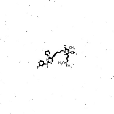 C[C@@H](C(=O)NCCCC#Cc1cnc(Nc2ccnc(F)c2)nc1N1CCCC1)N(C)C(=O)C=CCN(C)C